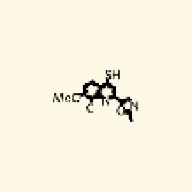 COc1ccc2c(S)cc(-c3cnc(C)o3)nc2c1Cl